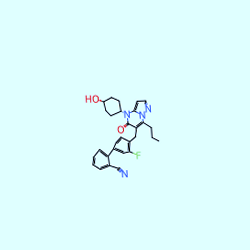 CCCc1c(Cc2ccc(-c3ccccc3C#N)cc2F)c(=O)n([C@H]2CC[C@H](O)CC2)c2ccnn12